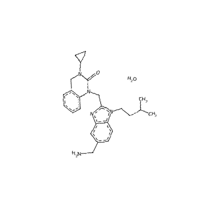 CC(C)CCn1c(CN2C(=O)N(C3CC3)Cc3ccccc32)nc2cc(CN)ccc21.O